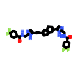 O=C(NCc1ncc(C#Cc2ccc3cc(-c4cnc(CNC(=O)C5CCC(F)(F)CC5)[nH]4)ccc3c2)[nH]1)C1CCC(F)(F)CC1